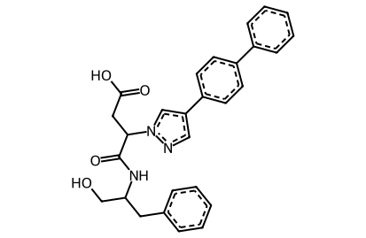 O=C(O)CC(C(=O)NC(CO)Cc1ccccc1)n1cc(-c2ccc(-c3ccccc3)cc2)cn1